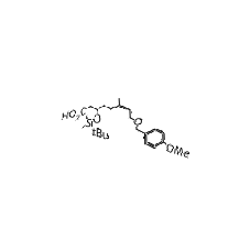 COc1ccc(COCC=C(C)CC[C@H](CC(=O)O)O[Si](C)(C)C(C)(C)C)cc1